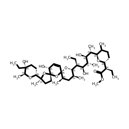 CC[C@@H]([C@H](O)[C@@H](C)[C@@H](O)[C@H](C)[C@@H]1O[C@@H]([C@@H](CC)C(=O)OC)CCC1C)[C@H]1O[C@]2(C=C[C@@H](O)[C@]3(CC[C@@](C)([C@H]4CC[C@](O)(CC)[C@H](C)O4)O3)O2)[C@H](C)C[C@@H]1C